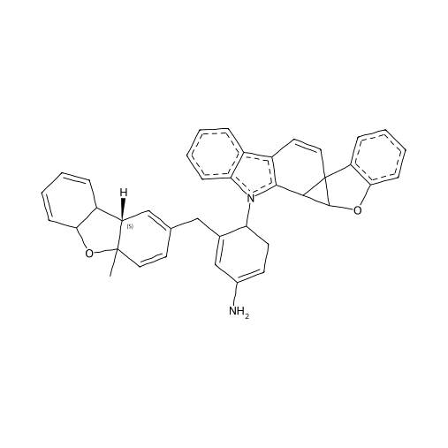 CC12C=CC(CC3=CC(N)=CCC3n3c4c(c5ccccc53)C=CC35c6ccccc6OC3C45)=C[C@H]1C1C=CC=CC1O2